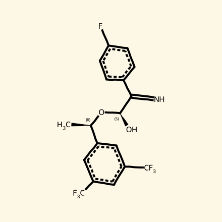 C[C@@H](O[C@H](O)C(=N)c1ccc(F)cc1)c1cc(C(F)(F)F)cc(C(F)(F)F)c1